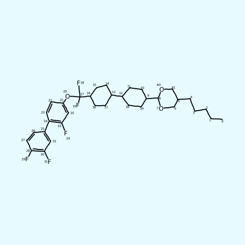 CCCCCC1COC(C2CCC(C3CCC(C(F)(F)Oc4ccc(-c5ccc(F)c(F)c5)c(F)c4)CC3)CC2)OC1